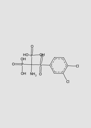 NC(P(=O)(O)O)(P(=O)(O)O)S(=O)(=O)c1ccc(Cl)c(Cl)c1